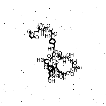 CC[C@H](C)[C@@H]1NC(=O)CNC(=O)[C@@H]2Cc3c([nH]c4ccccc34)SC[C@H](NC(O)CNC1=O)C(=O)NC(CC(=O)NCc1ccc(NC(=O)[C@H](C)NC(=O)[C@@H](NC(=O)CCN3C(=O)C=CC3=O)C(C)C)cc1)C(=O)N1C[C@H](O)C[C@H]1C(=O)N[C@@H]([C@@H](C)[C@@H](O)CO)C(=O)N2